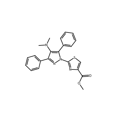 COC(=O)c1csc(-n2nc(-c3ccccc3)c(N(C)C)c2-c2ccccc2)n1